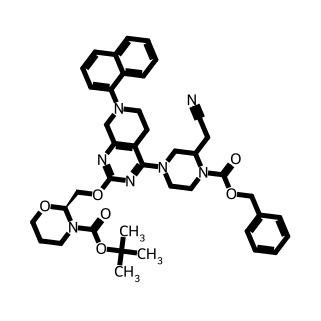 CC(C)(C)OC(=O)N1CCCO[C@H]1COc1nc2c(c(N3CCN(C(=O)OCc4ccccc4)C(CC#N)C3)n1)CCN(c1cccc3ccccc13)C2